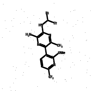 CCC(CC)Nc1nc(C)c(-c2ccc(C(F)(F)F)nc2OC)nc1N